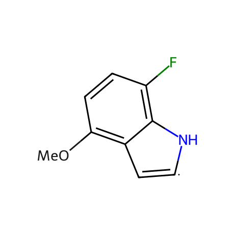 COc1ccc(F)c2[nH][c]cc12